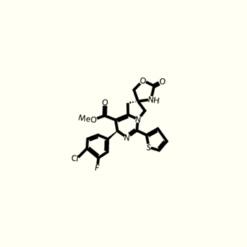 COC(=O)C1=C2C[C@@]3(COC(=O)N3)CN2C(c2cccs2)=N[C@H]1c1ccc(Cl)c(F)c1